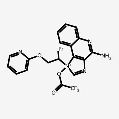 CC(C)C(COc1ccccn1)[N+]1(OC(=O)C(F)(F)F)C=Nc2c(N)nc3ccccc3c21